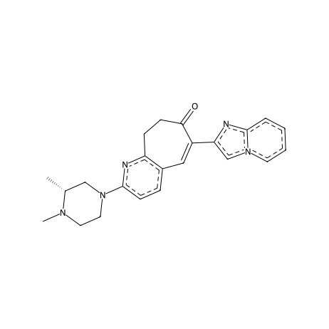 C[C@@H]1CN(c2ccc3c(n2)CCC(=O)C(c2cn4ccccc4n2)=C3)CCN1C